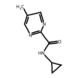 Cc1cnc(C(=O)NC2CC2)nc1